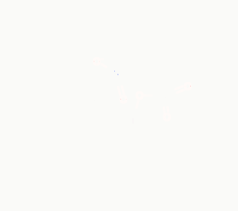 Cc1ccc([I+](OS(=O)(=O)c2ccccc2[N+](=O)[O-])c2ccc(C)cc2)cc1